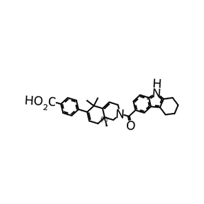 CC1(C)C(c2ccc(C(=O)O)cc2)=CC[C@@]2(C)CN(C(=O)c3ccc4[nH]c5c(c4c3)CCCC5)CC=C12